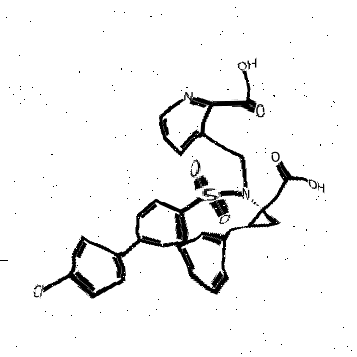 O=C(O)c1ncccc1CN([C@]1(C(=O)O)C[C@H]1c1ccccc1)S(=O)(=O)c1ccc(-c2ccc(Cl)cc2)cc1